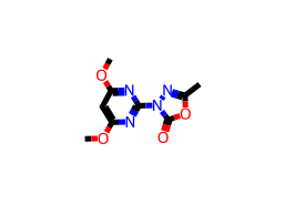 COc1cc(OC)nc(-n2nc(C)oc2=O)n1